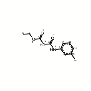 CCOC(=O)NC(=O)Nc1cccc(C)c1